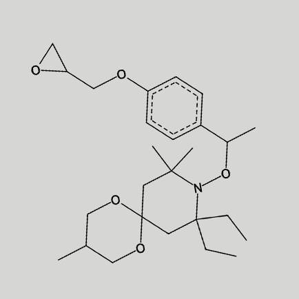 CCC1(CC)CC2(CC(C)(C)N1OC(C)c1ccc(OCC3CO3)cc1)OCC(C)CO2